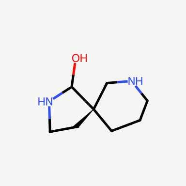 OC1NCC[C@@]12CCCNC2